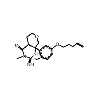 C=CCCCOc1ccc(F)c(C23COCCC2C(=O)N(C)C(=N)N3)c1